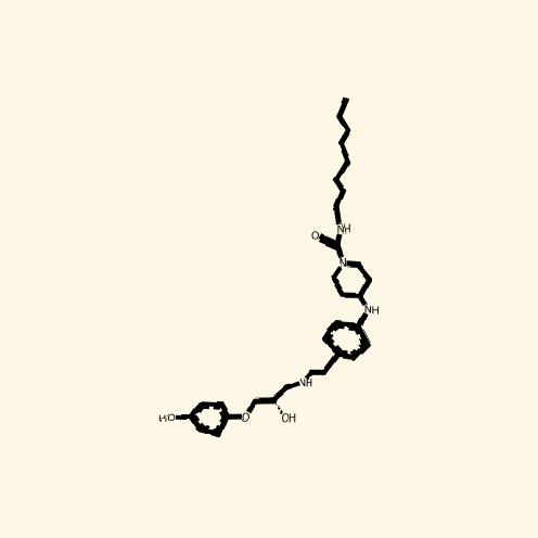 CCCCCCCCNC(=O)N1CCC(Nc2ccc(CCNC[C@H](O)COc3ccc(O)cc3)cc2)CC1